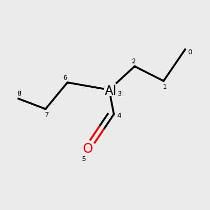 CC[CH2][Al]([CH]=O)[CH2]CC